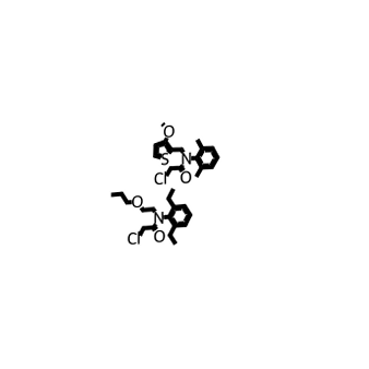 CCCOCCN(C(=O)CCl)c1c(CC)cccc1CC.COc1ccsc1CN(C(=O)CCl)c1c(C)cccc1C